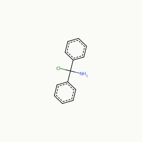 NC(Cl)(c1ccccc1)c1ccccc1